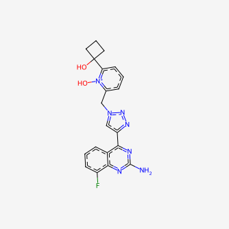 Nc1nc(-c2cn(Cc3cccc(C4(O)CCC4)[n+]3O)nn2)c2cccc(F)c2n1